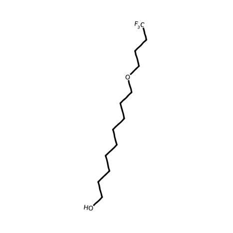 OCCCCCCCCCOCCCC(F)(F)F